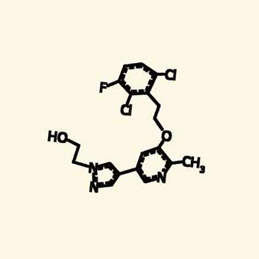 Cc1ncc(-c2cnn(CCO)c2)cc1OCCc1c(Cl)ccc(F)c1Cl